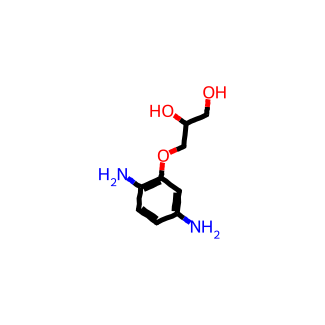 Nc1ccc(N)c(OCC(O)CO)c1